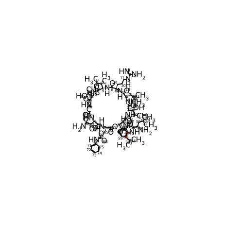 CC[C@H](C)[C@@H]1NC(=O)[C@@H](CCCNC(=N)N)NC(=O)[C@H](CC(C)C)NC(=O)[C@H]([C@H](O)C(C)C)NC(=O)[C@@H](NC(=O)[C@H](CC(C)C)NC(=O)[C@H](N)CC(C)C)[C@@H](c2ccccc2)OC(=O)[C@H](COC(=O)Nc2ccccc2)NC(=O)[C@H]([C@H](O)C(N)=O)NC(=O)CNC(=O)[C@H]([C@H](C)O)NC1=O